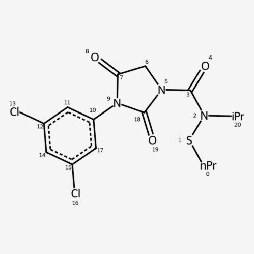 CCCSN(C(=O)N1CC(=O)N(c2cc(Cl)cc(Cl)c2)C1=O)C(C)C